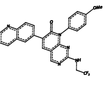 COc1ccc(-n2c(=O)c(-c3ccc4ncccc4c3)cc3cnc(NCC(F)(F)F)nc32)cc1